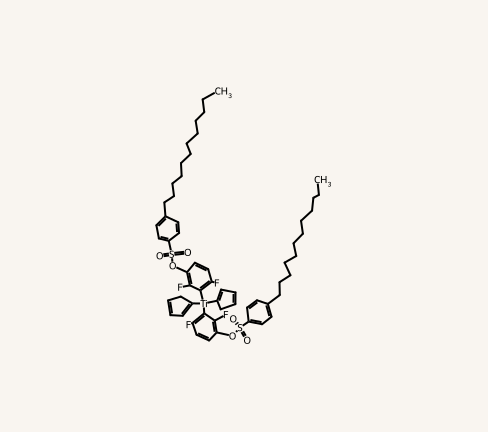 CCCCCCCCCCCCc1ccc(S(=O)(=O)Oc2ccc(F)[c]([Ti]([C]3=CC=CC3)([C]3=CC=CC3)[c]3c(F)ccc(OS(=O)(=O)c4ccc(CCCCCCCCCCCC)cc4)c3F)c2F)cc1